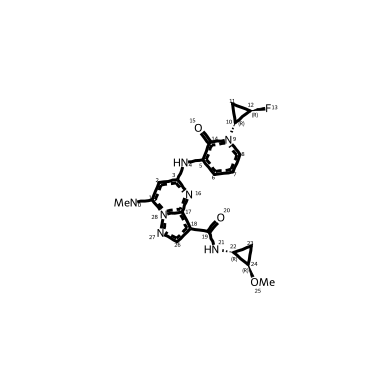 CNc1cc(Nc2cccn([C@@H]3C[C@H]3F)c2=O)nc2c(C(=O)N[C@@H]3C[C@H]3OC)cnn12